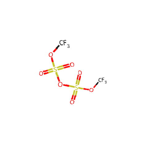 O=S(=O)(OC(F)(F)F)OS(=O)(=O)OC(F)(F)F